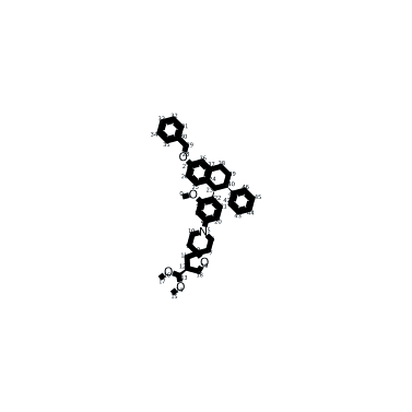 COc1cc(N2CCC3(CC2)C[C@H](C(OC)OC)CO3)ccc1[C@@H]1c2ccc(OCc3ccccc3)cc2CC[C@@H]1c1ccccc1